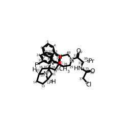 Cc1nc2ccccc2n1C1C[C@H]2CC[C@@H](C1)N2CCC1(c2cccc(F)c2)CCN(C(=O)[C@@H](NC(=O)CCl)C(C)C)CC1